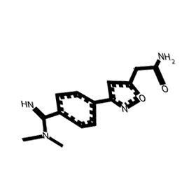 CN(C)C(=N)c1ccc(-c2cc([CH]C(N)=O)on2)cc1